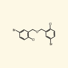 Clc1ccc(Br)cc1COCc1cc(Br)ccc1Cl